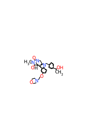 C=C(O)c1ccc(Cn2c3c(c4cc(OCCN5CCOCC5)ccc42)[C@H]2CN(C3)C(=O)N(C)C2=O)cc1